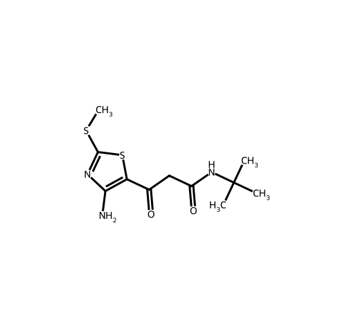 CSc1nc(N)c(C(=O)CC(=O)NC(C)(C)C)s1